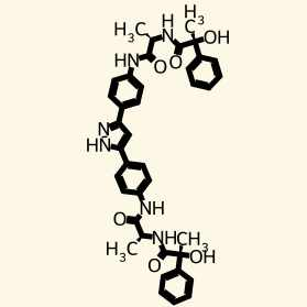 C[C@H](NC(=O)[C@](C)(O)c1ccccc1)C(=O)Nc1ccc(-c2cc(-c3ccc(NC(=O)[C@H](C)NC(=O)[C@](C)(O)c4ccccc4)cc3)[nH]n2)cc1